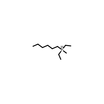 CCCCCC[PH](C)(CC)CC